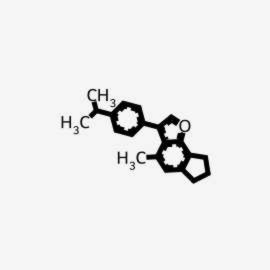 Cc1cc2c(c3occ(-c4ccc(C(C)C)cc4)c13)CCC2